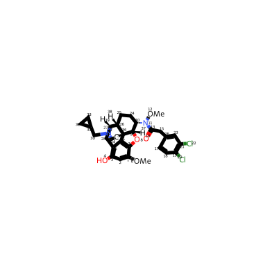 COc1cc(O)c2c3c1O[C@H]1[C@@H](N(OC)C(=O)Cc4ccc(Cl)c(Cl)c4)CC[C@H]4[C@@H](C2)N(CC2CC2)CC[C@@]341